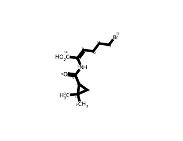 CC1(C)CC1C(=O)N/C(=C\CCCBr)C(=O)O